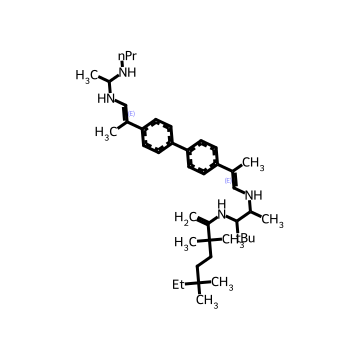 C=C(NC(C(C)N/C=C(\C)c1ccc(-c2ccc(/C(C)=C/NC(C)NCCC)cc2)cc1)C(C)(C)C)C(C)(C)CCC(C)(C)CC